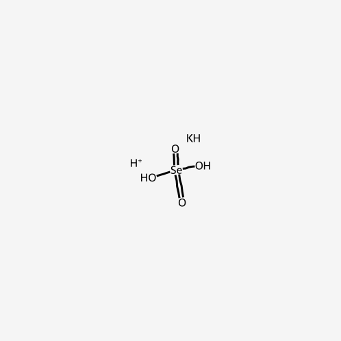 O=[Se](=O)(O)O.[H+].[KH]